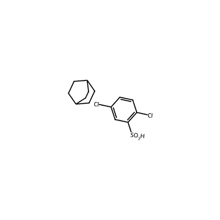 C1CC2CCC1CC2.O=S(=O)(O)c1cc(Cl)ccc1Cl